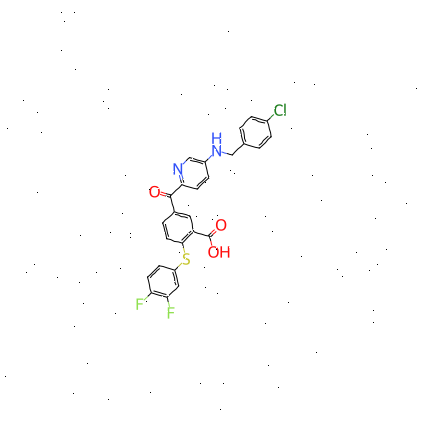 O=C(c1ccc(Sc2ccc(F)c(F)c2)c(C(=O)O)c1)c1ccc(NCc2ccc(Cl)cc2)cn1